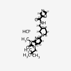 Cl.Cn1c(=O)n(CC(C)(C)C)c2ccc(N3CCCC(CNC(=O)c4cnco4)C3)nc21